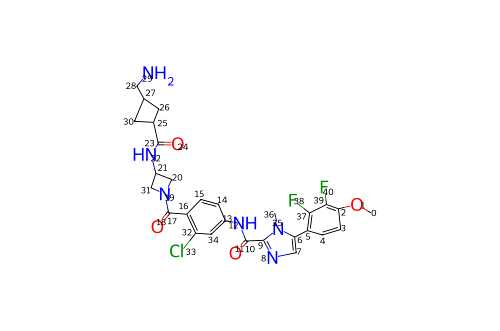 COc1ccc(-c2cnc(C(=O)Nc3ccc(C(=O)N4CC(NC(=O)C5CC(CN)C5)C4)c(Cl)c3)n2C)c(F)c1F